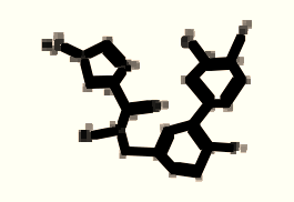 CC(C)N(Cc1ccc(F)c(-c2ccc(F)c(Cl)c2)c1)C(=O)c1cn(C)cn1